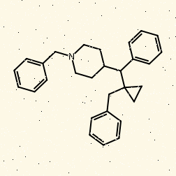 c1ccc(CN2CCC(C(c3ccccc3)C3(Cc4ccccc4)CC3)CC2)cc1